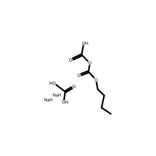 CCCCOC(=O)OC(=O)O.O=C(O)O.[NaH].[NaH]